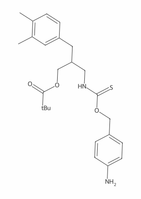 Cc1ccc(CC(CNC(=S)OCc2ccc(N)cc2)COC(=O)C(C)(C)C)cc1C